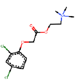 C[N+](C)(C)CCOC(=O)COc1ccc(Cl)cc1Cl